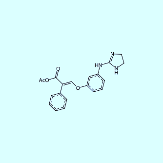 CC(=O)OC(=O)C(=COc1cccc(NC2=NCCN2)c1)c1ccccc1